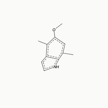 COc1cc(C)c2[nH]ccc2c1C